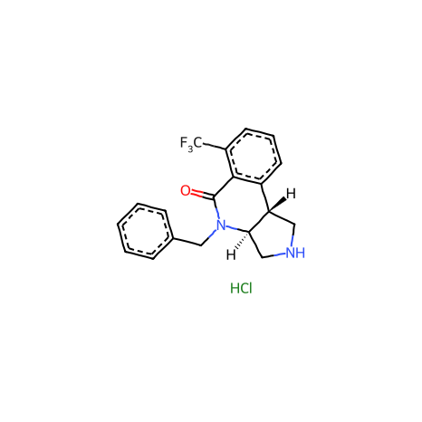 Cl.O=C1c2c(cccc2C(F)(F)F)[C@@H]2CNC[C@H]2N1Cc1ccccc1